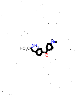 CN(C)c1ccc(C(=O)c2ccc(CC(N)C(=O)O)cc2)cc1